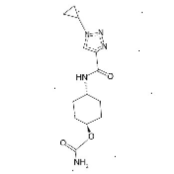 NC(=O)O[C@H]1CC[C@H](NC(=O)c2cn(C3CC3)nn2)CC1